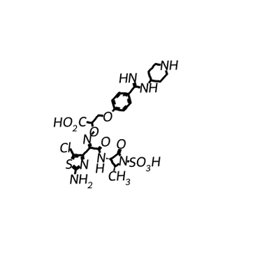 C[C@H]1[C@H](NC(=O)C(=NOC(COc2ccc(C(=N)NC3CCNCC3)cc2)C(=O)O)c2nc(N)sc2Cl)C(=O)N1S(=O)(=O)O